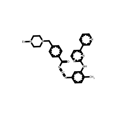 CCN1CCN(Cc2ccc(C(=O)N=[N+]=Nc3ccc(C)c(Nc4nccc(-c5cccnc5)n4)c3)cc2)CC1